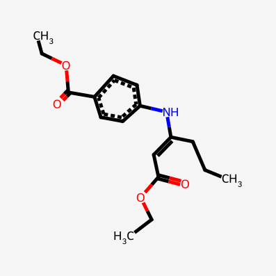 CCCC(=CC(=O)OCC)Nc1ccc(C(=O)OCC)cc1